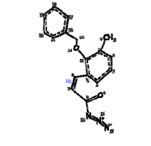 Cc1cccc(/C=C\C(=O)N=[N+]=[N-])c1OCc1ccccc1